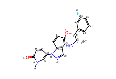 CC(C)[C@H](N)[C@H](Oc1ccc2c(cnn2-c2ccc(=O)n(C)c2)c1)c1cccc(F)c1